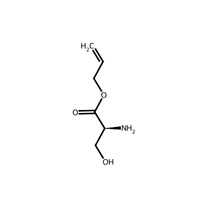 C=CCOC(=O)[C@@H](N)CO